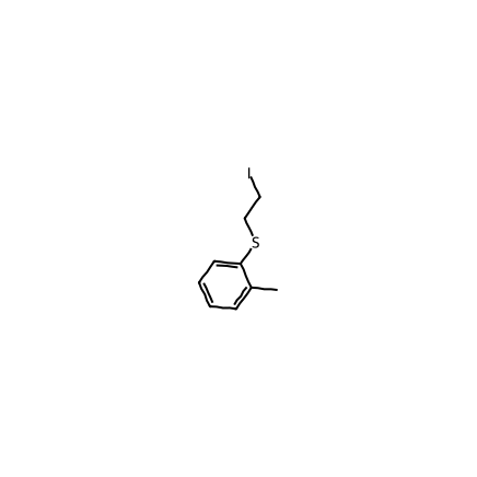 Cc1ccccc1SCCI